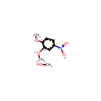 CO.COc1ccc([N+](=O)[O-])cc1OC